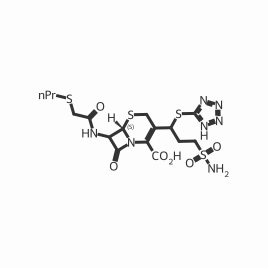 CCCSCC(=O)NC1C(=O)N2C(C(=O)O)=C(C(CCS(N)(=O)=O)Sc3nnn[nH]3)CS[C@@H]12